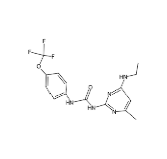 CCNc1cc(C)nc(NC(=O)Nc2ccc(OC(F)(F)F)cc2)n1